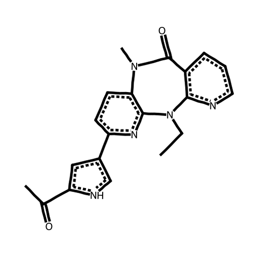 CCN1c2ncccc2C(=O)N(C)c2ccc(-c3c[nH]c(C(C)=O)c3)nc21